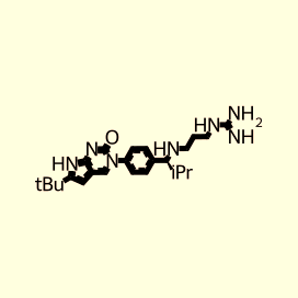 CC(C)[C@H](NCCCNC(=N)N)c1ccc(-n2cc3cc(C(C)(C)C)[nH]c3nc2=O)cc1